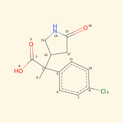 CC(C(=O)O)(c1ccc(Cl)cc1)C1CNC(=O)C1